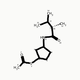 CC(=O)SC1CCC(NC(=O)[C@@H](C)C(C)C)C1